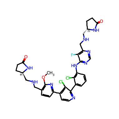 COc1nc(-c2ccnc(-c3cccc(Nc4ncnc(CNC[C@@H]5CCC(=O)N5)c4F)c3Cl)c2Cl)ccc1CNC[C@H]1CCC(=O)N1